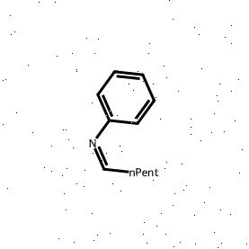 CCCCC/C=N\c1ccccc1